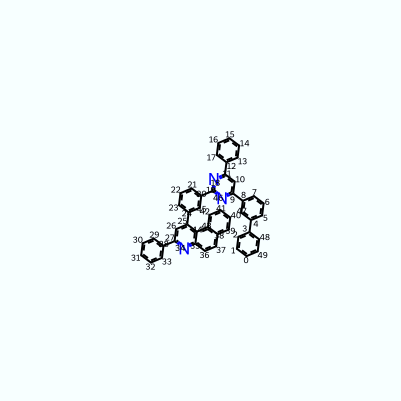 c1ccc(-c2cccc(-c3cc(-c4ccccc4)nc(-c4cccc(-c5cc(-c6ccccc6)nc6ccc7ccccc7c56)c4)n3)c2)cc1